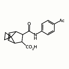 CC(=O)c1ccc(NC(=O)C2C(C(=O)O)C3C=CC2C32CC2)cc1